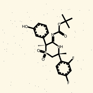 CC(C)(C)OC(=O)/N=C1\N[C@](C)(c2ccc(F)cc2F)CS(=O)(=O)[C@@]1(C)c1cccc(O)c1